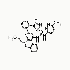 CCCN(Cc1ccccc1)c1cc(NC(=O)Nc2ccc(C)nn2)cc(-c2ccccc2-c2nnn[nH]2)n1